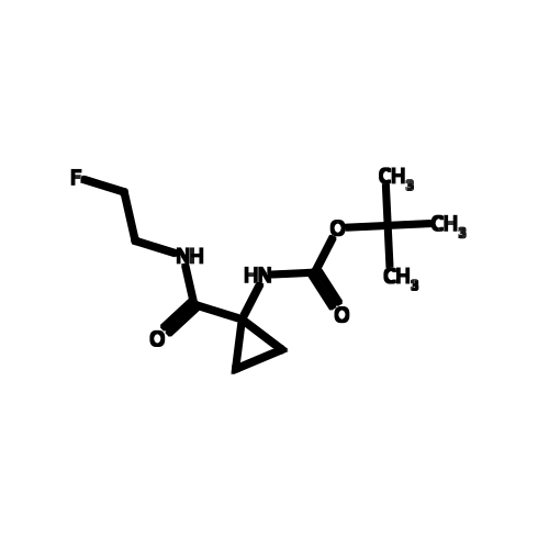 CC(C)(C)OC(=O)NC1(C(=O)NCCF)CC1